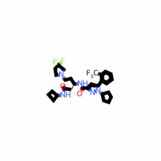 O=C(C[C@H](CCN1CCC(F)(F)C1)NC(=O)c1cc(-c2ccccc2C(F)(F)F)n(C2CCCC2)n1)NC1CCC1